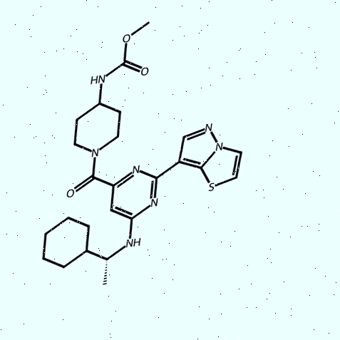 COC(=O)NC1CCN(C(=O)c2cc(N[C@H](C)C3CCCCC3)nc(-c3cnn4ccsc34)n2)CC1